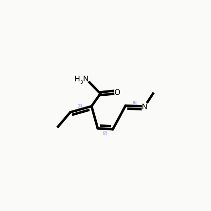 C\C=C(/C=C\C=N\C)C(N)=O